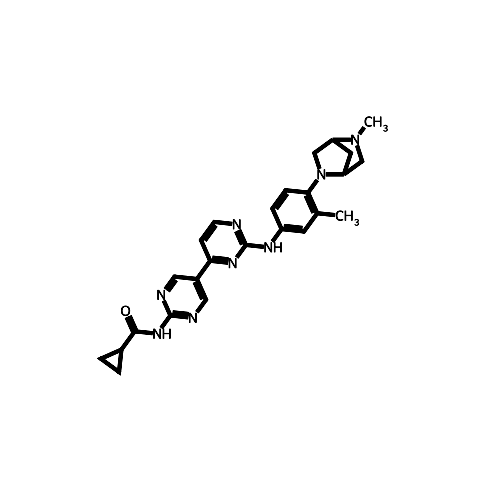 Cc1cc(Nc2nccc(-c3cnc(NC(=O)C4CC4)nc3)n2)ccc1N1CC2CC1CN2C